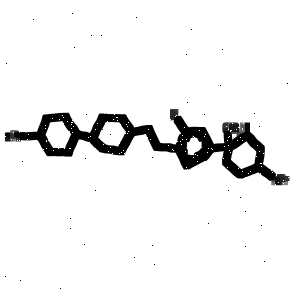 CCCC1CCC(C2CCC(CCc3ccc(C4(C(=O)O)CCC(CCC)CC4)cc3F)CC2)CC1